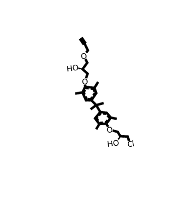 C#CCOC[C@H](O)COc1c(C)cc(C(C)(C)c2cc(C)c(OC[C@H](O)CCl)c(C)c2)cc1C